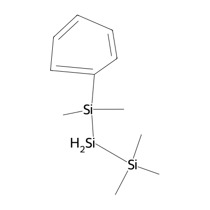 C[Si](C)(C)[SiH2][Si](C)(C)c1ccccc1